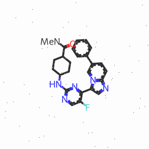 CNC(=O)C1CCC(Nc2ncc(F)c(-c3cnc4ccc(-c5ccccc5)cn34)n2)CC1